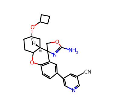 N#Cc1cncc(-c2ccc3c(c2)C2(COC(N)=N2)[C@H]2C[C@@H](OC4CCC4)CCC2O3)c1